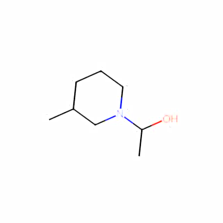 CC1CCCN(C(C)O)C1